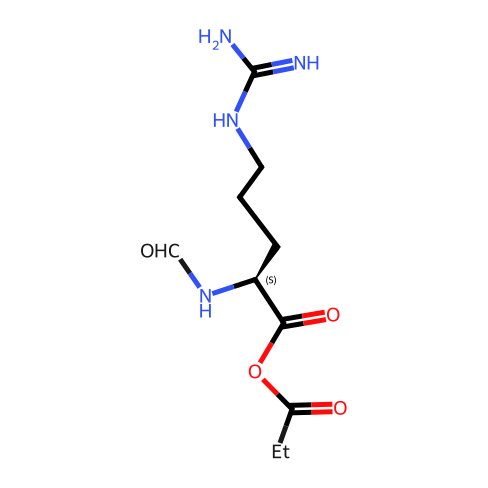 CCC(=O)OC(=O)[C@H](CCCNC(=N)N)NC=O